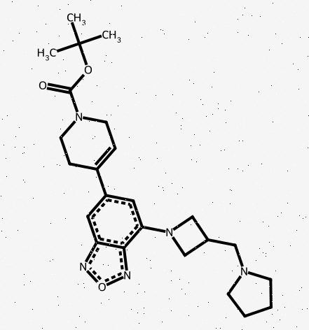 CC(C)(C)OC(=O)N1CC=C(c2cc(N3CC(CN4CCCC4)C3)c3nonc3c2)CC1